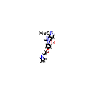 COc1nccc2c(=O)n(-c3ccc(OCCCN4CCCC4)cc3)c(C)nc12